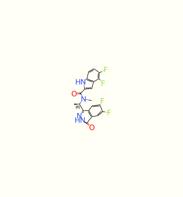 C[C@H](c1n[nH]c(=O)c2cc(F)c(F)cc12)N(C)C(=O)c1cc2c(F)c(F)ccc2[nH]1